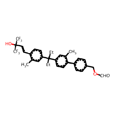 CCC(CC)(c1ccc(/C=C/C(O)(C(F)(F)F)C(F)(F)F)c(C)c1)c1ccc(-c2ccc(COC=O)cc2)c(C)c1